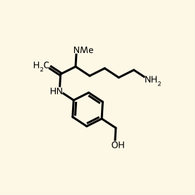 C=C(Nc1ccc(CO)cc1)C(CCCCN)NC